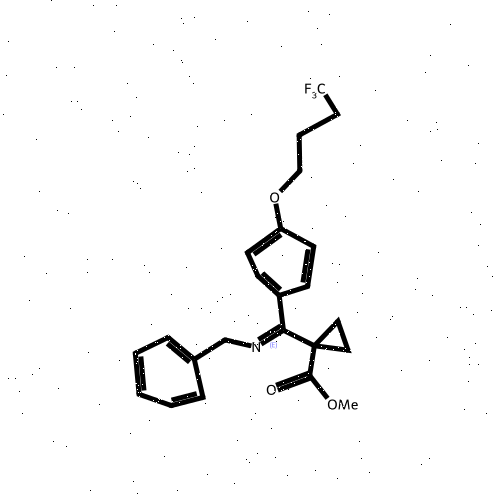 COC(=O)C1(/C(=N/Cc2ccccc2)c2ccc(OCCCC(F)(F)F)cc2)CC1